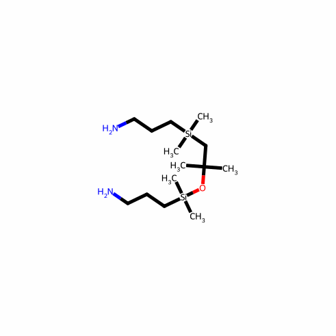 CC(C)(C[Si](C)(C)CCCN)O[Si](C)(C)CCCN